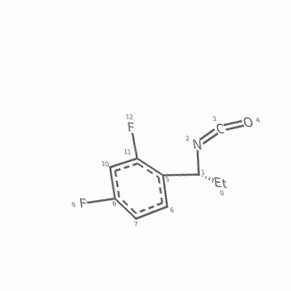 CC[C@@H](N=C=O)c1ccc(F)cc1F